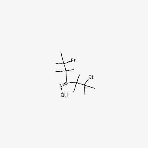 CCC(C)(C)C(C)(C)C(=NO)C(C)(C)C(C)(C)CC